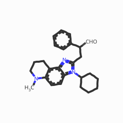 CN1CCCc2c1ccc1c2nc(CC(C=O)c2ccccc2)n1C1CCCCC1